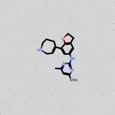 CNc1cc(C)nc(Nc2cc3c(c(C4=CCNCCC4)c2)OCC3)n1